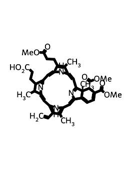 C=Cc1c(C)c2cc3nc(cc4[nH]c(cc5nc(cc1[nH]2)C(C)C5CCC(=O)O)c(CCC(=O)OC)c4C)[C@@]1(C)C3=CC=C(C(=O)OC)[C@H]1C(=O)OC